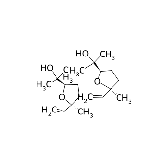 C=C[C@]1(C)CC[C@H](C(C)(C)O)O1.C=C[C@]1(C)CC[C@H](C(C)(C)O)O1